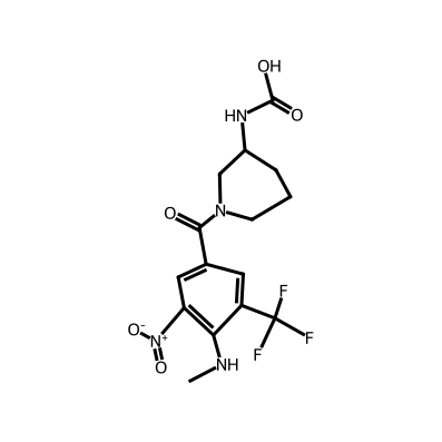 CNc1c([N+](=O)[O-])cc(C(=O)N2CCCC(NC(=O)O)C2)cc1C(F)(F)F